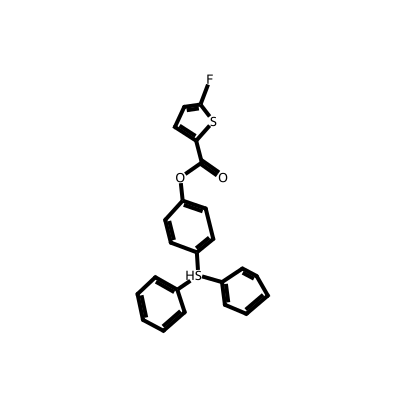 O=C(Oc1ccc([SH](c2ccccc2)c2ccccc2)cc1)c1ccc(F)s1